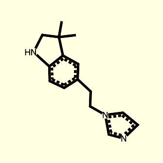 CC1(C)CNc2ccc(CCn3ccnc3)cc21